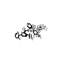 C[C@H]1C[C@@H](c2ccncc2NC(=O)c2nc(-c3ncccc3F)ccc2N)C[C@@H](O[Si](C)(C)C(C)(C)C)[C@]1(C)O